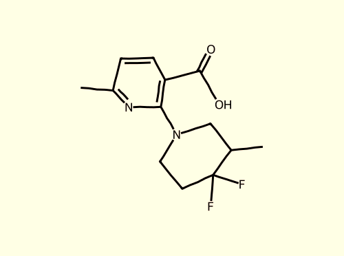 Cc1ccc(C(=O)O)c(N2CCC(F)(F)C(C)C2)n1